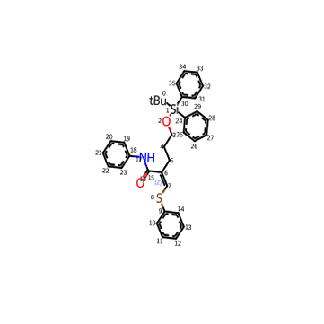 CC(C)(C)[Si](OCCC/C(=C/Sc1ccccc1)C(=O)Nc1ccccc1)(c1ccccc1)c1ccccc1